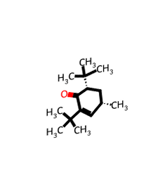 C[C@@H]1C=C(C(C)(C)C)C(=O)[C@H](C(C)(C)C)C1